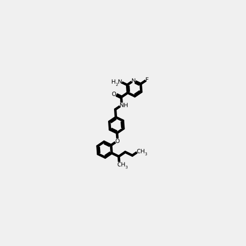 CCCC(C)c1ccccc1Oc1ccc(CNC(=O)c2ccc(F)nc2N)cc1